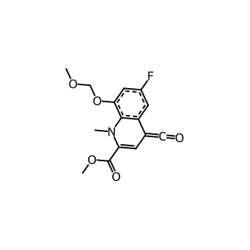 COCOc1cc(F)cc2c1N(C)C(C(=O)OC)=CC2=C=O